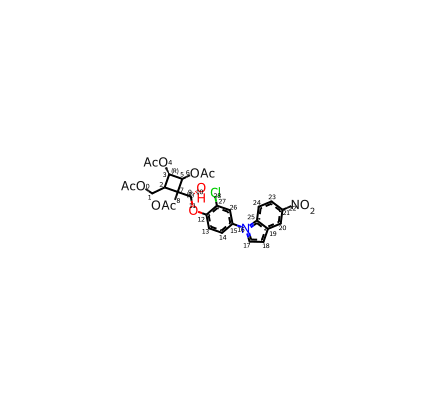 CC(=O)OCC1[C@@H](OC(C)=O)C(OC(C)=O)C1(OC(C)=O)[C@H](O)Oc1ccc(-n2ccc3cc([N+](=O)[O-])ccc32)cc1Cl